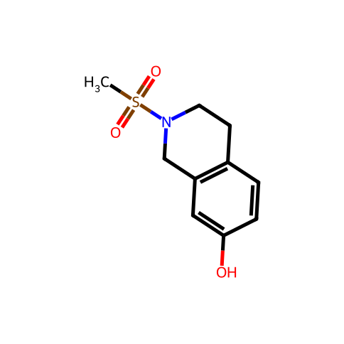 CS(=O)(=O)N1CCc2ccc(O)cc2C1